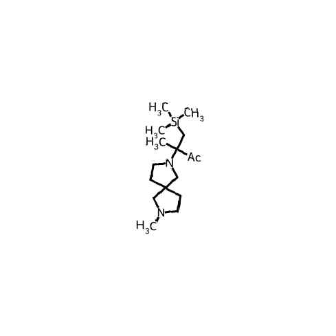 CC(=O)C(C)(C[Si](C)(C)C)N1CCC2(CCN(C)C2)C1